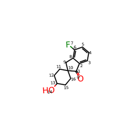 O=C1c2cccc(F)c2CC12CCC(O)CC2